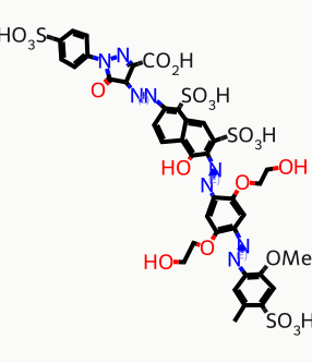 COc1cc(S(=O)(=O)O)c(C)cc1/N=N/c1cc(OCCO)c(/N=N/c2c(S(=O)(=O)O)cc3c(S(=O)(=O)O)c(/N=N/C4C(=O)N(c5ccc(S(=O)(=O)O)cc5)N=C4C(=O)O)ccc3c2O)cc1OCCO